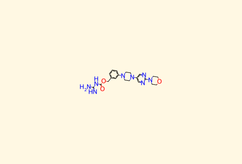 N=C(N)NC(=O)OCc1cccc(N2CCN(c3cnc(N4CCOCC4)nc3)CC2)c1